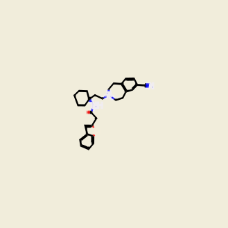 N#Cc1ccc2c(c1)CCN(CCC1(NC(=O)Cc3cc4ccccc4o3)CCCCC1)CC2